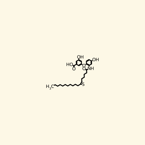 CCCCCCCCCCCC1SC1CCCCC(=O)Nc1cc(O)ccc1Oc1cc(O)cc(C(=O)O)c1